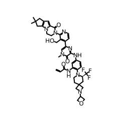 C=CC(=O)Nc1cc(Nc2nc(-c3ccnc(N4CCn5c(cc6c5CC(C)(C)C6)C4=O)c3CO)cn(C)c2=O)ccc1N1CCC2(C[C@@H]1C(F)(F)F)CN(C1COC1)C2